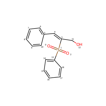 O=S(=O)(C(=Cc1ccccc1)CO)c1ccccc1